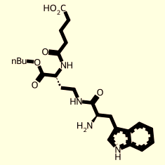 CCCCOC(=O)[C@@H](CCNC(=O)[C@H](N)Cc1c[nH]c2ccccc12)NC(=O)CCCC(=O)O